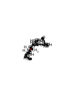 Cc1c(-c2ccc(N3CCc4cccc(C(=O)Nc5nc6ccccc6s5)c4C3)nc2C(=O)O)cnn1CC12CC3CC(C)(C1)CC(C)(C2)C3OCCN(C)C(=O)OCc1ccc(OCCOCCNC(=N)[C@H](CS(=O)(=O)O)NC(=O)CCCCCN2C(=O)C=CC2=O)cc1O[C@@H]1O[C@H](C(=O)O)[C@@H](O)[C@H](O)[C@H]1O